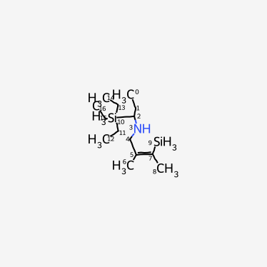 CCC(NCC(C)=C(C)[SiH3])[Si](CC)(CC)CC